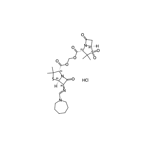 CC1(C)S[C@@H]2[C@H](N=CN3CCCCCC3)C(=O)N2[C@H]1C(=O)OCOC(=O)[C@@H]1N2C(=O)C[C@H]2S(=O)(=O)C1(C)C.Cl